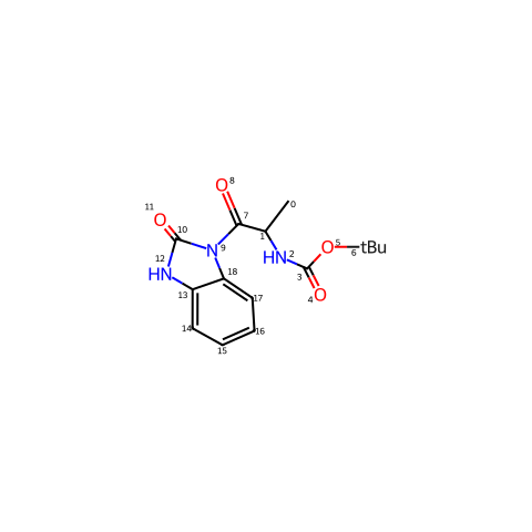 CC(NC(=O)OC(C)(C)C)C(=O)n1c(=O)[nH]c2ccccc21